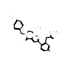 CNC(=O)Cc1cc(Cl)ccc1-c1cc2n(n1)[C@@H](C)CN(Cc1ccc(C#N)cc1)C2=O